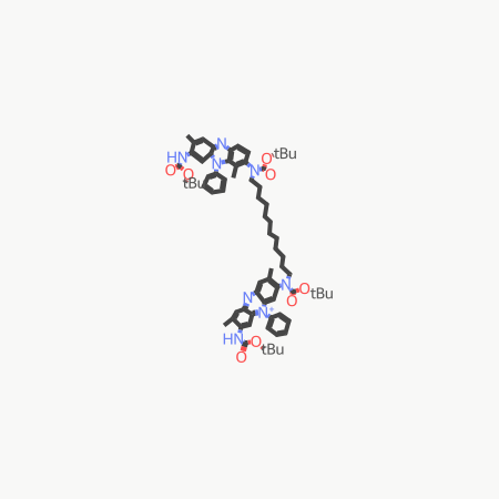 CC1=CC2=Nc3ccc(N(CCCCCCCCCCCCN(C(=O)OC(C)(C)C)c4cc5c(cc4C)nc4cc(C)c(NC(=O)OC(C)(C)C)cc4[n+]5-c4ccccc4)C(=O)OC(C)(C)C)c(C)c3N(c3ccccc3)C2C=C1NC(=O)OC(C)(C)C